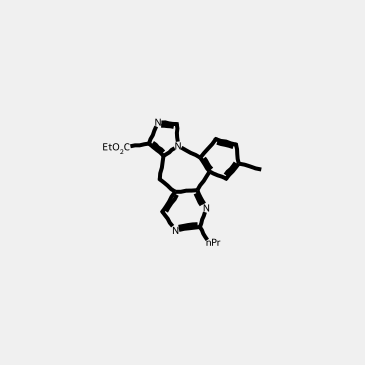 CCCc1ncc2c(n1)-c1cc(C)ccc1-n1cnc(C(=O)OCC)c1C2